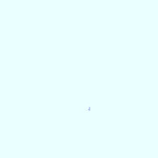 CC1=C(OC(=O)O)C2=COC(CCI)(c3ccc(Cl)cc3)C2=CN1